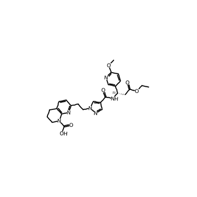 CCOC(=O)C[C@H](NC(=O)c1cnn(CCc2ccc3c(n2)N(C(=O)O)CCC3)c1)c1ccc(OC)nc1